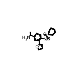 CC(N)c1ccc(NS(=O)(=O)c2ccccc2)c(-c2ccco2)c1